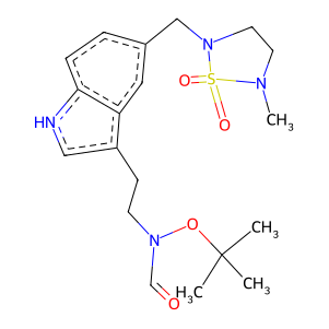 CN1CCN(Cc2ccc3[nH]cc(CCN(C=O)OC(C)(C)C)c3c2)S1(=O)=O